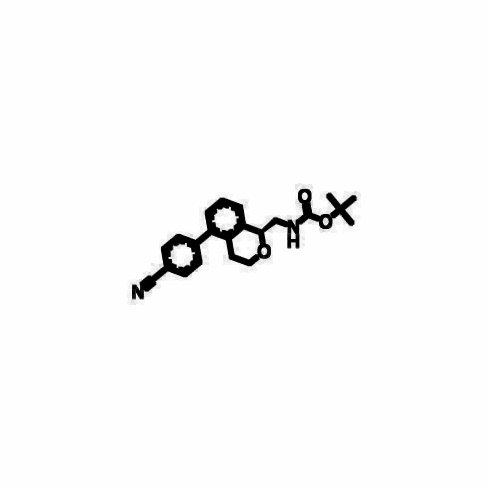 CC(C)(C)OC(=O)NC[C@H]1OCCc2c(-c3ccc(C#N)cc3)cccc21